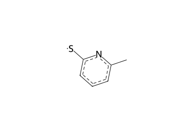 Cc1cccc([S])n1